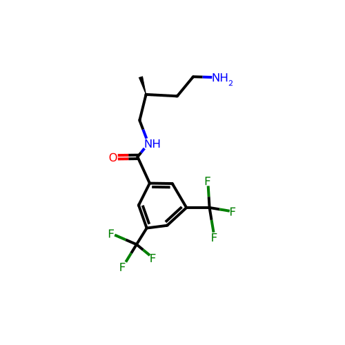 C[C@@H](CCN)CNC(=O)c1cc(C(F)(F)F)cc(C(F)(F)F)c1